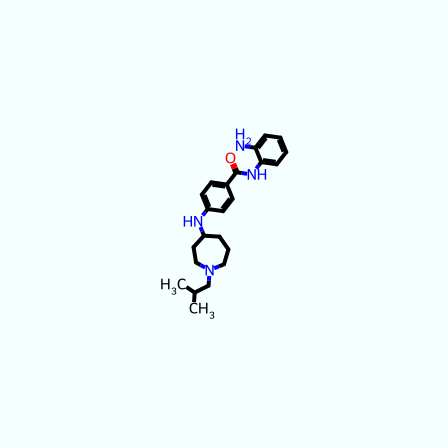 CC(C)CN1CCCC(Nc2ccc(C(=O)Nc3ccccc3N)cc2)CC1